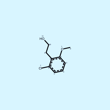 COc1cccc(Cl)c1CCO